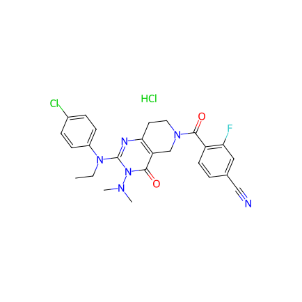 CCN(c1ccc(Cl)cc1)c1nc2c(c(=O)n1N(C)C)CN(C(=O)c1ccc(C#N)cc1F)CC2.Cl